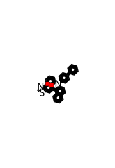 c1ccc(-c2ccc(N(c3ccccc3)c3ccc4ccccc4c3-c3ccc4ncsc4c3)cc2)cc1